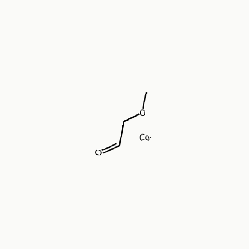 COCC=O.[Co]